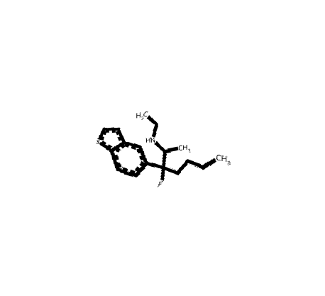 CCCCC(F)(c1ccc2sccc2c1)C(C)NCC